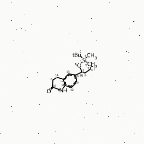 CC(C)(C)[Si](C)(C)O[C@@H](CCl)c1ccc2c(c1)CCC(=O)N2